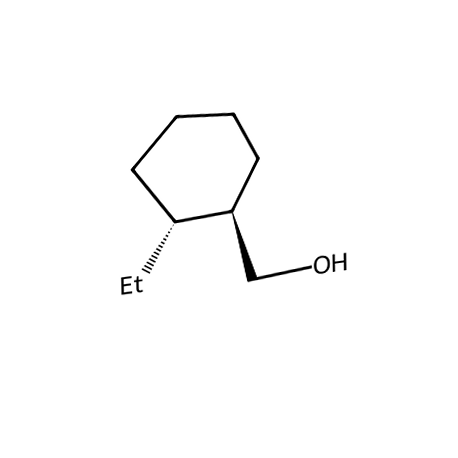 CC[C@@H]1CCCC[C@H]1CO